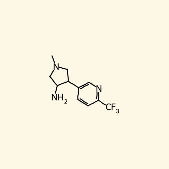 CN1CC(N)C(c2ccc(C(F)(F)F)nc2)C1